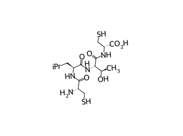 CC(C)C[C@H](NC(=O)[C@@H](N)CS)C(=O)N[C@H](C(=O)N[C@H](CS)C(=O)O)[C@@H](C)O